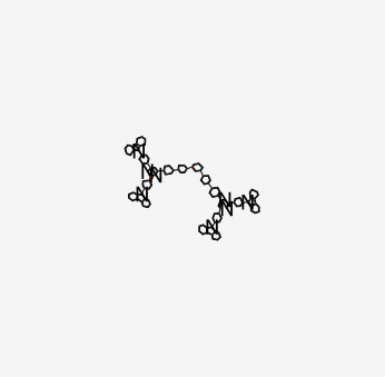 c1cc(-c2ccc(-c3ccc(-c4cc(-c5ccc(-n6c7ccccc7c7ccccc76)cc5)nc(-c5ccc(-n6c7ccccc7c7ccccc76)cc5)n4)cc3)cc2)cc(-c2ccc(-c3ccc(-c4cc(-c5ccc(-n6c7ccccc7c7ccccc76)cc5)nc(-c5ccc(-n6c7ccccc7c7ccccc76)cc5)n4)cc3)cc2)c1